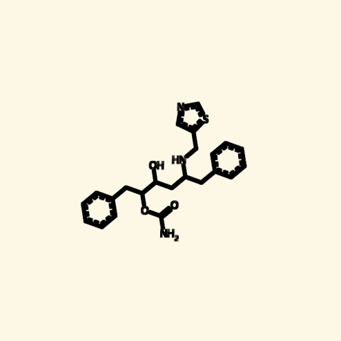 NC(=O)OC(Cc1ccccc1)C(O)CC(Cc1ccccc1)NCc1cncs1